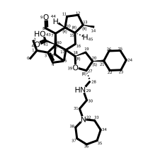 CC(C)C1=CC2CC3(C=O)[C@@H]4CC[C@@H](C)[C@H]4CC2([C@H]2C[C@@H](C4CCCCC4)[C@H](CNCCN4CCCCCC4)O2)[C@]13C(=O)O